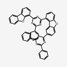 c1ccc(-c2nc(-c3ccccc3)nc(-c3ccc4oc5cccc(-c6nc(-c7ccccc7)nc(-c7cccc8c7oc7ccccc78)n6)c5c4c3)n2)cc1